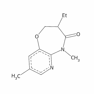 CCC1COc2cc(C)cnc2N(C)C1=O